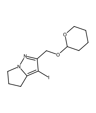 Ic1c(COC2CCCCO2)nn2c1CCC2